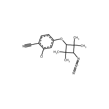 CC1(C)C(N=[N+]=[N-])C(C)(C)C1Oc1ccc(C#N)c(Cl)c1